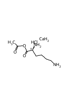 CC(=O)OC(=O)[C@@H](N)CCCCN.Cl.[CaH2]